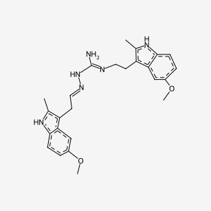 COc1ccc2[nH]c(C)c(CC=NNC(N)=NCCc3c(C)[nH]c4ccc(OC)cc34)c2c1